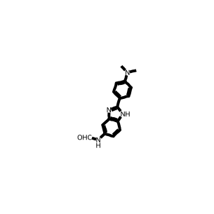 CN(C)c1ccc(-c2nc3cc(NC=O)ccc3[nH]2)cc1